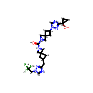 O=C(N1CC2(CC(Cc3ncn(CC(F)(F)F)n3)C2)C1)N1CC2(CC(n3cnc(C4(O)CC4)n3)C2)C1